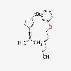 CC=CC=CCOc1ccccc1.C[C](C)=[Ti][C]1=CC(C(C)(C)C)=CC1